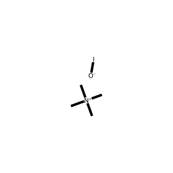 C[N+](C)(C)C.[O-]I